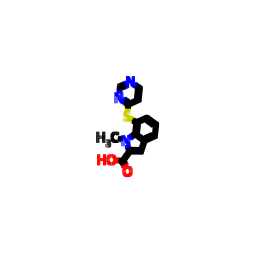 Cn1c(C(=O)O)cc2cccc(Sc3ccncn3)c21